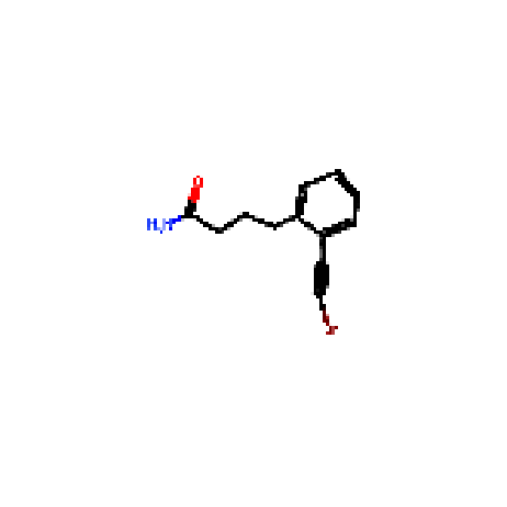 NC(=O)CCCc1ccccc1C#CBr